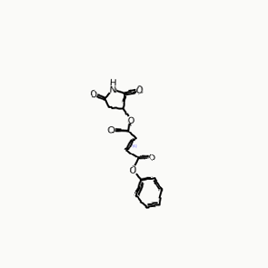 O=C1CC(OC(=O)/C=C/C(=O)Oc2ccccc2)C(=O)N1